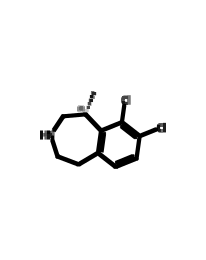 C[C@H]1CNCCc2ccc(Cl)c(Cl)c21